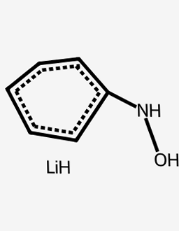 ONc1ccccc1.[LiH]